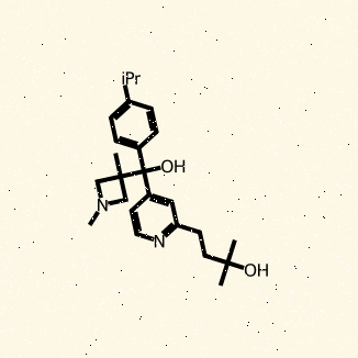 CC(C)c1ccc(C(O)(c2ccnc(CCC(C)(C)O)c2)C2(C)CN(C)C2)cc1